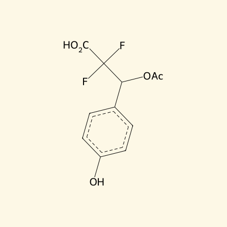 CC(=O)OC(c1ccc(O)cc1)C(F)(F)C(=O)O